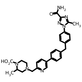 Cc1nc(C(N)=O)nn1-c1ccc(Cc2ccc(-c3ccc(CN4CCN(C(=O)O)C(C)C4)nc3)cc2)cc1